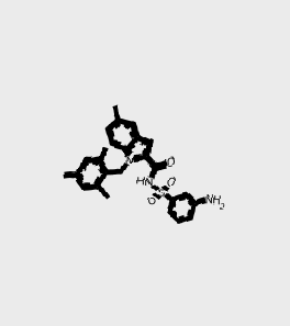 Cc1cc(C)c(Cn2c(C(=O)NS(=O)(=O)c3cccc(N)c3)cc3cc(C)ccc32)c(C)c1